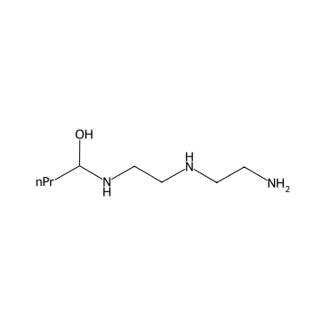 [CH2]CCC(O)NCCNCCN